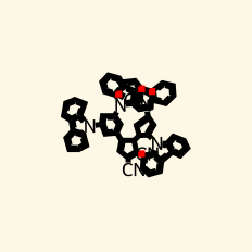 N#CC1=C(C#N)C(C2C=C(n3c4ccccc4c4ccccc43)C=C2n2c3ccccc3c3ccccc32)C(c2cc(-n3c4ccccc4c4ccccc43)cc(-n3c4ccccc4c4ccccc43)c2)=C1